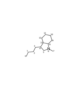 CCCCC1CN(C)C2CCCCC12